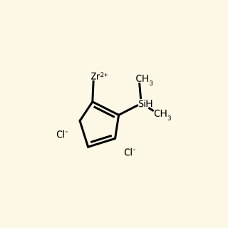 C[SiH](C)C1=[C]([Zr+2])CC=C1.[Cl-].[Cl-]